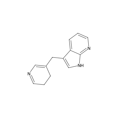 C1=NC=C(Cc2c[nH]c3ncccc23)CC1